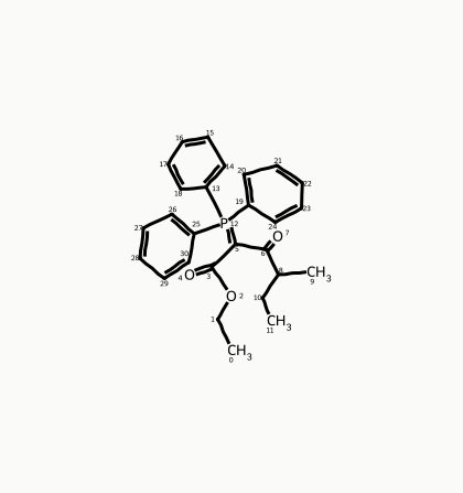 CCOC(=O)C(C(=O)C(C)CC)=P(c1ccccc1)(c1ccccc1)c1ccccc1